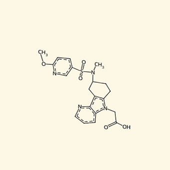 COc1ccc(S(=O)(=O)N(C)C2CCc3c(c4ncccc4n3CC(=O)O)C2)cn1